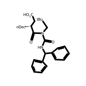 CCCCCCCCCC[C@H](CC(=O)O)C(=O)N(CC(C)(C)C)C(=O)NC(c1ccccc1)c1ccccc1